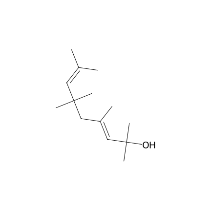 CC(C)=CC(C)(C)C/C(C)=C/C(C)(C)O